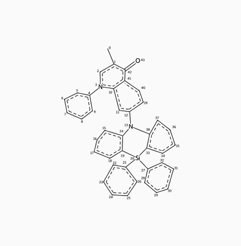 Cc1cn(-c2ccccc2)c2cc(N3c4ccccc4[Si](c4ccccc4)(c4ccccc4)c4ccccc43)ccc2c1=O